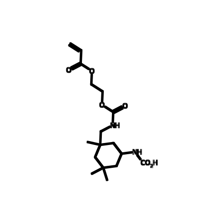 C=CC(=O)OCCOC(=O)NCC1(C)CC(NC(=O)O)CC(C)(C)C1